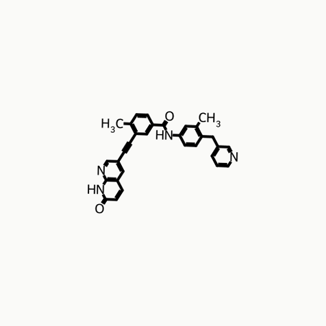 Cc1ccc(C(=O)Nc2ccc(Cc3cccnc3)c(C)c2)cc1C#Cc1cnc2[nH]c(=O)ccc2c1